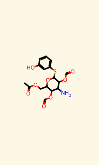 CC(=O)OCC1OC(Sc2cccc(O)c2)C(OC=O)C(N)C1OC=O